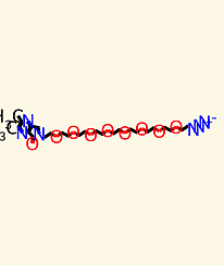 Cc1nc2c(nc1C)C(=O)N(CCOCCOCCOCCOCCOCCOCCOCCOCCN=[N+]=[N-])C2